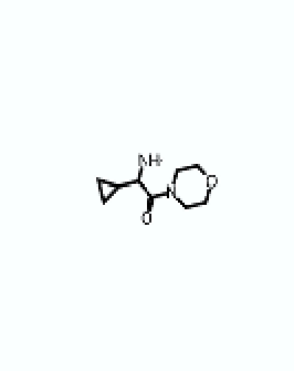 [NH]C(C(=O)N1CCOCC1)C1CC1